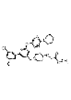 COC(=O)COC1CCN(Cc2cc(Oc3cnc(N4CCCCC4)nc3)nc(-c3cc(Cl)cc(Cl)c3)c2)CC1